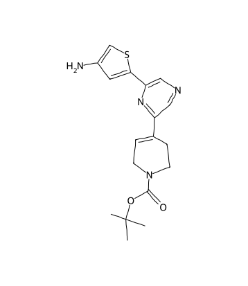 CC(C)(C)OC(=O)N1CC=C(c2cncc(-c3cc(N)cs3)n2)CC1